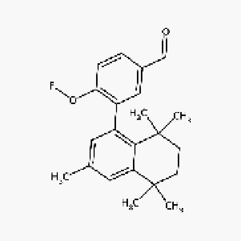 Cc1cc(-c2cc(C=O)ccc2OF)c2c(c1)C(C)(C)CCC2(C)C